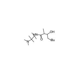 CCC(C)CC(O)C(C)C(=O)NC(C)(C)C(C)(C)N(C)C